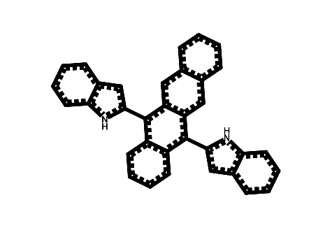 c1ccc2cc3c(-c4cc5ccccc5[nH]4)c4ccccc4c(-c4cc5ccccc5[nH]4)c3cc2c1